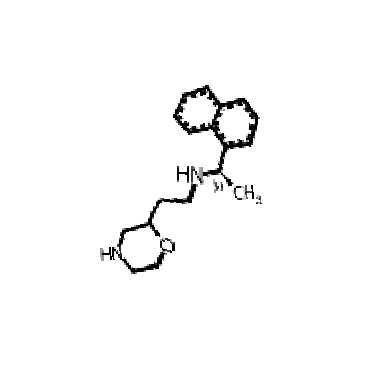 C[C@@H](NCCC1CNCCO1)c1cccc2ccccc12